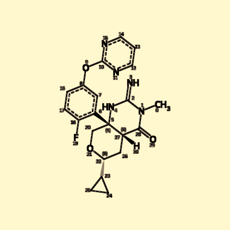 CN1C(=N)N[C@@]2(c3cc(Oc4ncccn4)ccc3F)CO[C@@H](C3CC3)C[C@H]2C1=O